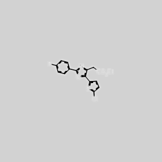 CCOC(=O)Cc1nc(-c2ccc(F)cc2)oc1-c1ccc(Cl)s1